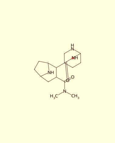 CN(C)C(=O)C1CC2CC[C](N2)C1C12CCC(CNC1=O)NC2